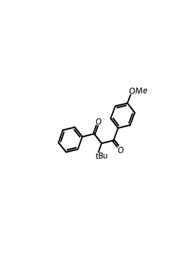 COc1ccc(C(=O)C(C(=O)c2ccccc2)C(C)(C)C)cc1